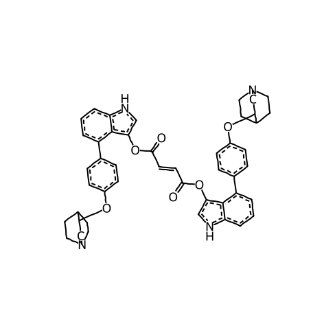 O=C(/C=C/C(=O)Oc1c[nH]c2cccc(-c3ccc(OC4CN5CCC4CC5)cc3)c12)Oc1c[nH]c2cccc(-c3ccc(OC4CN5CCC4CC5)cc3)c12